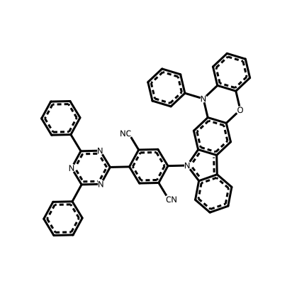 N#Cc1cc(-n2c3ccccc3c3cc4c(cc32)N(c2ccccc2)c2ccccc2O4)c(C#N)cc1-c1nc(-c2ccccc2)nc(-c2ccccc2)n1